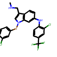 CNCc1cn(Sc2cccc(Cl)c2)c2cc(Nc3ccc(C(F)(F)F)cc3Cl)ccc12